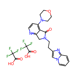 O=C(O)C(F)(F)F.O=C(O)C(F)(F)F.O=C1c2c(N3CCOCC3)ccnc2CN1CCc1cn2ccccc2n1